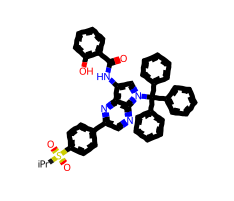 CC(C)S(=O)(=O)c1ccc(-c2cnc3c(n2)c(NC(=O)c2ccccc2O)cn3C(c2ccccc2)(c2ccccc2)c2ccccc2)cc1